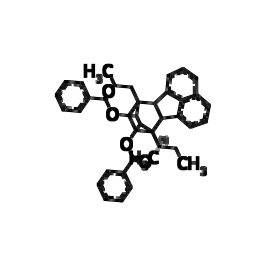 CCCC12CCC([C@@H](C)CC)(C(OC(=O)c3ccccc3)C1OC(=O)c1ccccc1)C1c3cccc4cccc(c34)C12